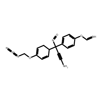 [N-]=[N+]=NCOC1=CCC(C(C#CN)(N=O)c2ccc(OC=N)cc2)C=C1